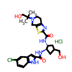 CC(C)(CO)N1CCc2nc(C(=O)N[C@@H]3CC(CO)C[C@H]3NC(=O)c3cc4cc(Cl)ccc4[nH]3)sc2C1.Cl